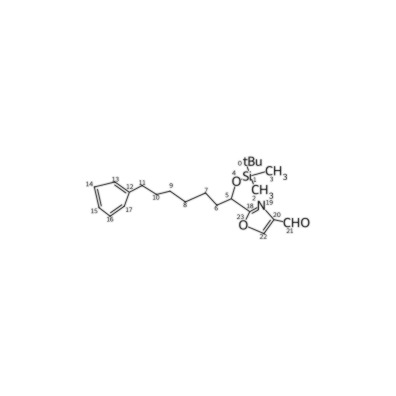 CC(C)(C)[Si](C)(C)OC(CCCCCCc1ccccc1)c1nc(C=O)co1